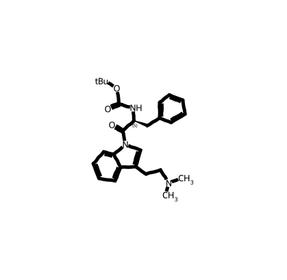 CN(C)CCc1cn(C(=O)[C@H](Cc2ccccc2)NC(=O)OC(C)(C)C)c2ccccc12